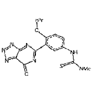 CCCOc1ccc(NC(=S)NC)cc1C1=NC(=O)C2=NN=NC2=N1